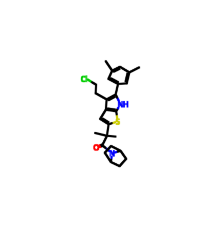 Cc1cc(C)cc(-c2[nH]c3sc(C(C)(C)C(=O)N4C5CCC4CC5)cc3c2CCCl)c1